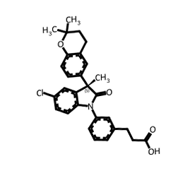 CC1(C)CCc2cc([C@]3(C)C(=O)N(c4cccc(CCC(=O)O)c4)c4ccc(Cl)cc43)ccc2O1